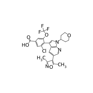 Cc1noc(C)c1-c1cnc2c(c1)c(-c1c(Cl)cc(C(=O)O)cc1OC(F)(F)F)cn2C1CCOCC1